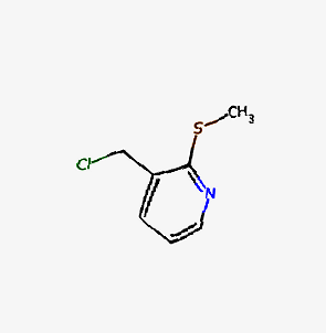 CSc1ncccc1CCl